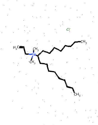 C=CC[N+](C)(C)C(CCCCCCCC)CCCCCCCCC.[Cl-]